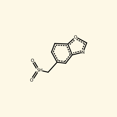 O=[SH](=O)Cc1ccc2ocnc2c1